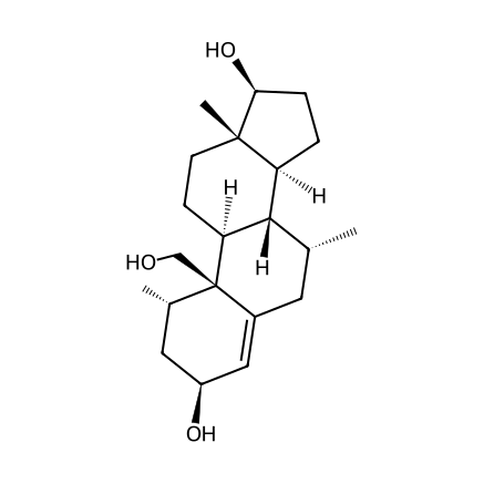 C[C@@H]1CC2=C[C@@H](O)C[C@H](C)[C@]2(CO)[C@H]2CC[C@]3(C)[C@@H](O)CC[C@H]3[C@H]12